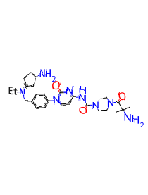 CCN(Cc1ccc(-n2ccc(NC(=O)N3CCN(C(=O)C(C)(C)N)CC3)nc2=O)cc1)[C@H]1CCC(N)C1